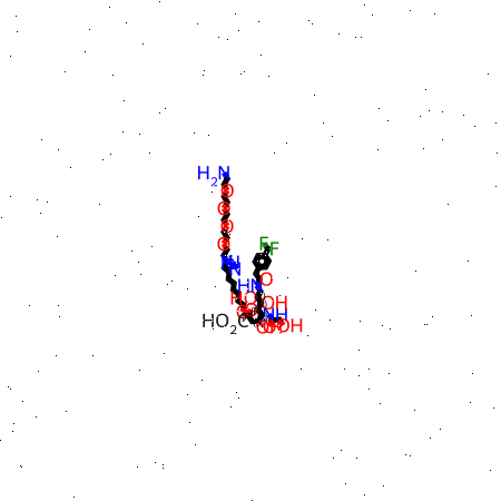 NCCOCCOCCOCCOCCn1cc(CCCCCCO[C@]2(C(=O)O)C[C@H](O)[C@@H](NC(=O)CO)[C@H]([C@H](O)[C@H](O)CNC(=O)Cc3ccc(C(F)F)cc3)O2)nn1